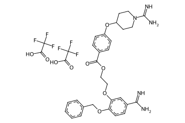 N=C(N)c1ccc(OCc2ccccc2)c(OCCOC(=O)c2ccc(OC3CCN(C(=N)N)CC3)cc2)c1.O=C(O)C(F)(F)F.O=C(O)C(F)(F)F